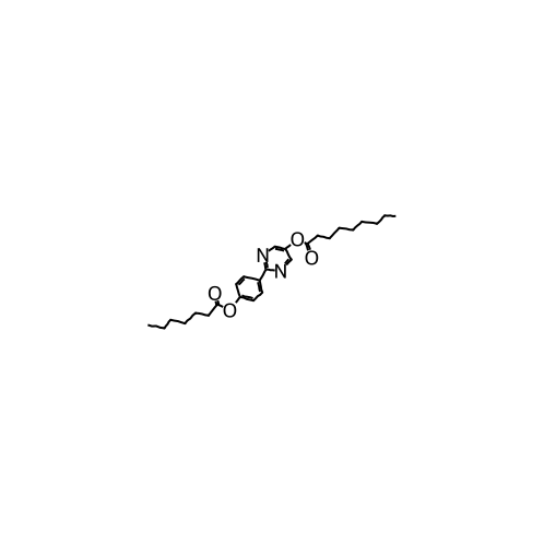 CCCCCCCCC(=O)Oc1cnc(-c2ccc(OC(=O)CCCCCC)cc2)nc1